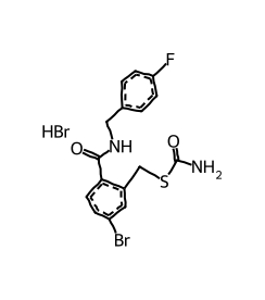 Br.NC(=O)SCc1cc(Br)ccc1C(=O)NCc1ccc(F)cc1